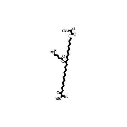 CCCCC(CC)C(=O)CCCCCCCCCCCC(CCCCCCCCCOC(=O)C(CC)CCCC)OC(=O)CCCN(C)C